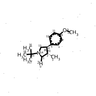 [2H]C1[C@@H](C)[C@H](c2ccc(OC)cc2)CN1C(C)(C)C